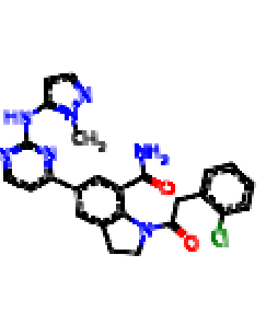 Cn1nccc1Nc1nccc(-c2cc3c(c(C(N)=O)c2)N(C(=O)Cc2ccccc2Cl)CC3)n1